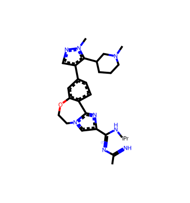 CC(=N)/N=C(\NC(C)C)c1cn2c(n1)-c1ccc(-c3cnn(C)c3C3CCCN(C)C3)cc1OCC2